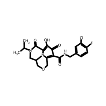 CC(C)N1CC2COCc3c(C(=O)NCc4ccc(F)c(Cl)c4)c(=O)c(O)c(n32)C1=O